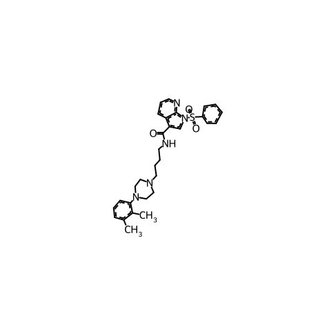 Cc1cccc(N2CCN(CCCCNC(=O)c3cn(S(=O)(=O)c4ccccc4)c4ncccc34)CC2)c1C